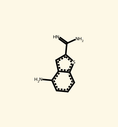 N=C(N)c1cc2c(N)cccc2s1